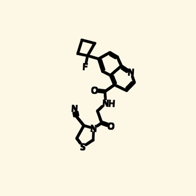 N#CC1CSCN1C(=O)CNC(=O)c1ccnc2ccc(C3(F)CCC3)cc12